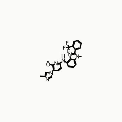 COc1nc(Nc2cccc3c2nc(-c2ccccc2C(F)(F)F)n3C)ccc1-n1cnc(C)c1